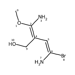 CO/C(N)=C(/C=C(\N)Br)CO